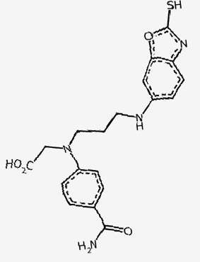 NC(=O)c1ccc(N(CCCNc2ccc3nc(S)oc3c2)CC(=O)O)cc1